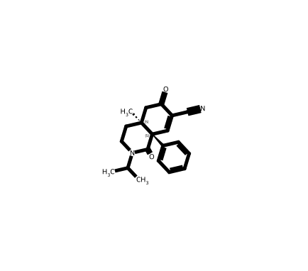 CC(C)N1CC[C@@]2(C)CC(=O)C(C#N)=C[C@]2(c2ccccc2)C1=O